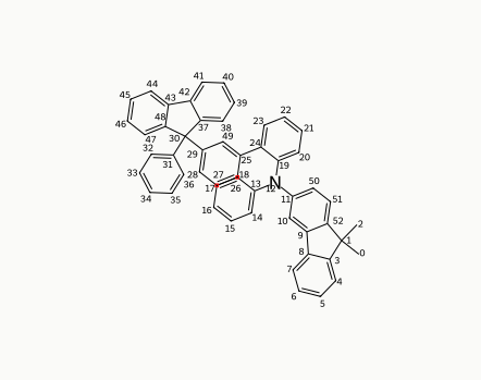 CC1(C)c2ccccc2-c2cc(N(c3ccccc3)c3ccccc3-c3cccc(C4(c5ccccc5)c5ccccc5-c5ccccc54)c3)ccc21